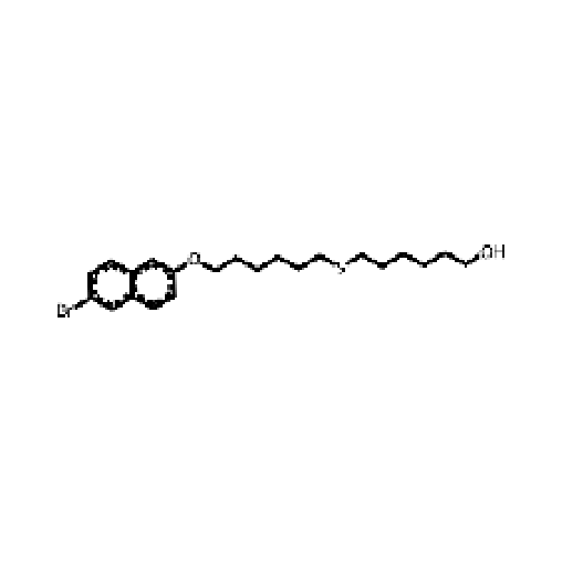 OCCCCCCSCCCCCCOc1ccc2cc(Br)ccc2c1